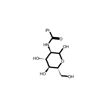 CC(C)C(=O)N[C@H]1C(O)O[C@H](CO)[C@@H](O)[C@@H]1O